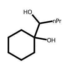 CCCC(O)C1(O)CCCCC1